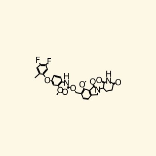 COc1cc(Oc2cc(F)c(F)cc2C)ccc1NC(=O)OCc1ccc2c(c1OC)C(=O)N(C1CCC(=O)NC1=O)C2